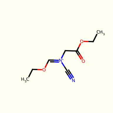 CCOC=[N+](C#N)CC(=O)OCC